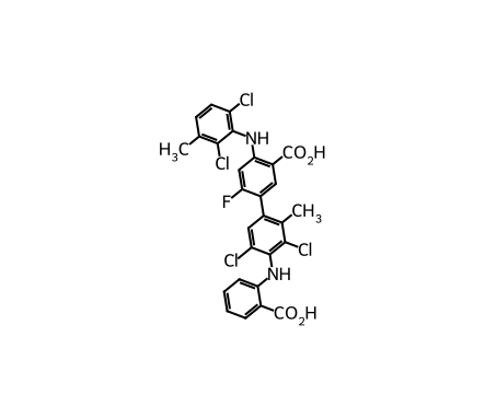 Cc1ccc(Cl)c(Nc2cc(F)c(-c3cc(Cl)c(Nc4ccccc4C(=O)O)c(Cl)c3C)cc2C(=O)O)c1Cl